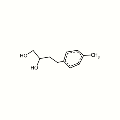 Cc1ccc(CCC(O)CO)cc1